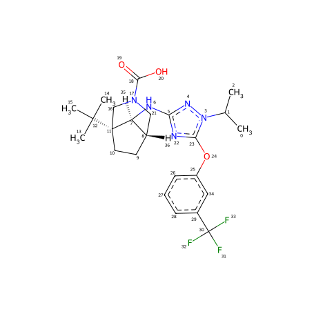 CC(C)n1nc(N[C@H]2[C@H]3CC[C@@]2(C(C)(C)C)CN(C(=O)O)C3)nc1Oc1cccc(C(F)(F)F)c1